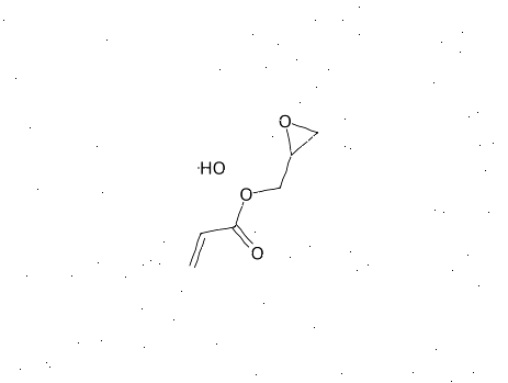 C=CC(=O)OCC1CO1.[OH]